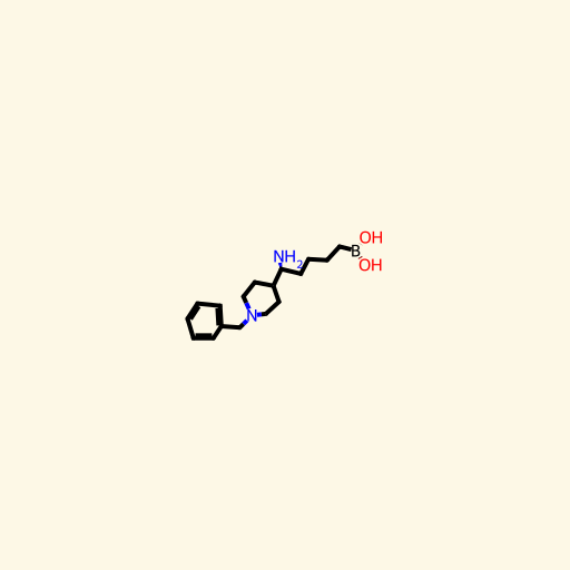 N[C@@H](CCCCB(O)O)C1CCN(Cc2ccccc2)CC1